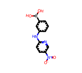 O=[N+]([O-])c1ccc(Nc2cccc(B(O)O)c2)nc1